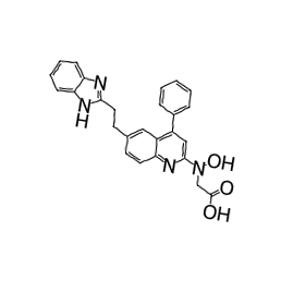 O=C(O)CN(O)c1cc(-c2ccccc2)c2cc(CCc3nc4ccccc4[nH]3)ccc2n1